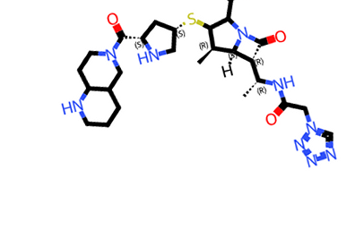 C[C@@H](NC(=O)Cn1cnnn1)[C@H]1C(=O)N2C(C(=O)O)C(S[C@@H]3CN[C@H](C(=O)N4CCC5NCCCC5C4)C3)[C@H](C)[C@H]12